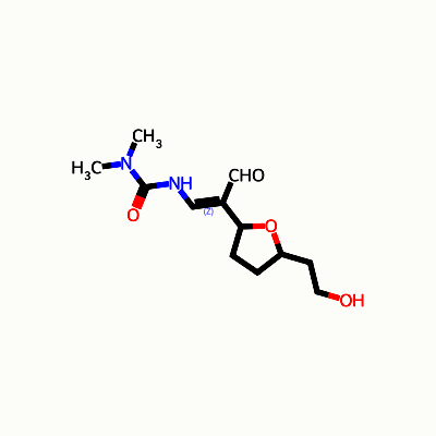 CN(C)C(=O)N/C=C(\C=O)C1CCC(CCO)O1